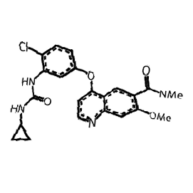 CNC(=O)c1cc2c(Oc3ccc(Cl)c(NC(=O)NC4CC4)c3)ccnc2cc1OC